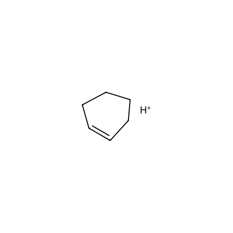 C1=CCCCC1.[H+]